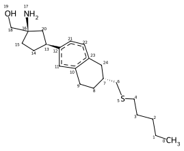 CCCCCSC[C@@H]1CCc2cc([C@H]3CC[C@](N)(CO)C3)ccc2C1